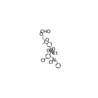 CCN(c1ccc(Cl)cc1CN(Cl)Cc1ccccc1)S(=O)(=O)c1ccc2oc(CCOC=O)c(C)c2c1